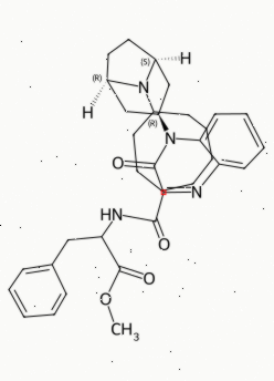 COC(=O)C(Cc1ccccc1)NC(=O)c1nc2ccccc2n([C@H]2C[C@H]3CC[C@@H](C2)N3C2CCCCCCC2)c1=O